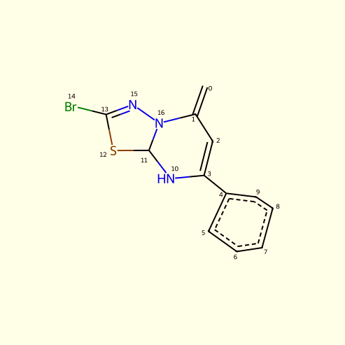 C=C1C=C(c2ccccc2)NC2SC(Br)=NN12